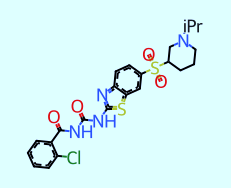 CC(C)N1CCCC(S(=O)(=O)c2ccc3nc(NC(=O)NC(=O)c4ccccc4Cl)sc3c2)C1